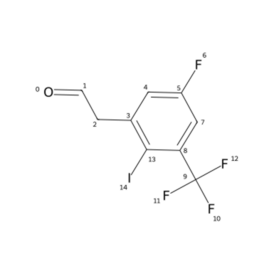 O=CCc1cc(F)cc(C(F)(F)F)c1I